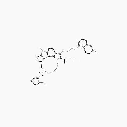 CCOC(=O)c1c(CCCOc2cccc3cc(F)ccc23)c2ccc(Cl)c3c2n1CCCCN(S(=O)(=O)c1ccccc1NO)Cc1nn(C)c(CC)c1-3